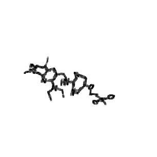 CCN(CC)c1nc2c(cc1CNc1ncc(OCCS(C)(=O)=O)cn1)c(C)nn2C